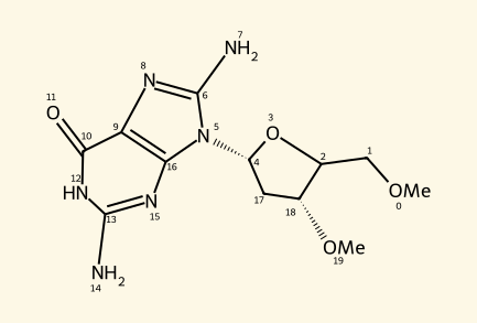 COCC1O[C@@H](n2c(N)nc3c(=O)[nH]c(N)nc32)C[C@H]1OC